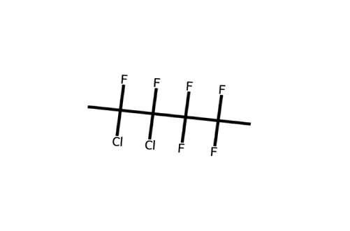 CC(F)(F)C(F)(F)C(F)(Cl)C(C)(F)Cl